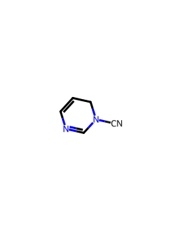 N#CN1C=NC=CC1